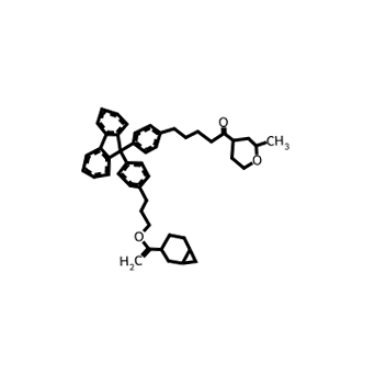 C=C(OCCCc1ccc(C2(c3ccc(CCCCC(=O)C4CCOC(C)C4)cc3)c3ccccc3-c3ccccc32)cc1)C1CCC2CC2C1